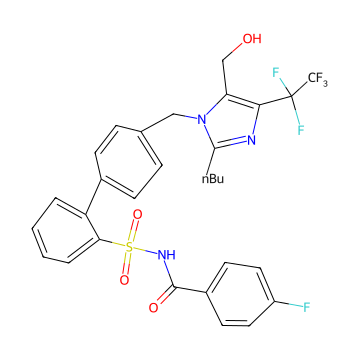 CCCCc1nc(C(F)(F)C(F)(F)F)c(CO)n1Cc1ccc(-c2ccccc2S(=O)(=O)NC(=O)c2ccc(F)cc2)cc1